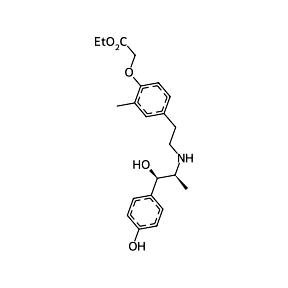 CCOC(=O)COc1ccc(CCN[C@@H](C)[C@H](O)c2ccc(O)cc2)cc1C